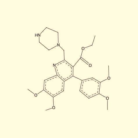 CCOC(=O)c1c(CN2CCNCC2)nc2cc(OC)c(OC)cc2c1-c1ccc(OC)c(OC)c1